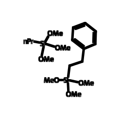 CCC[Si](OC)(OC)OC.CO[Si](CCc1ccccc1)(OC)OC